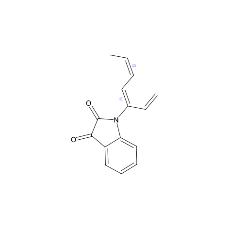 C=C/C(=C\C=C/C)N1C(=O)C(=O)c2ccccc21